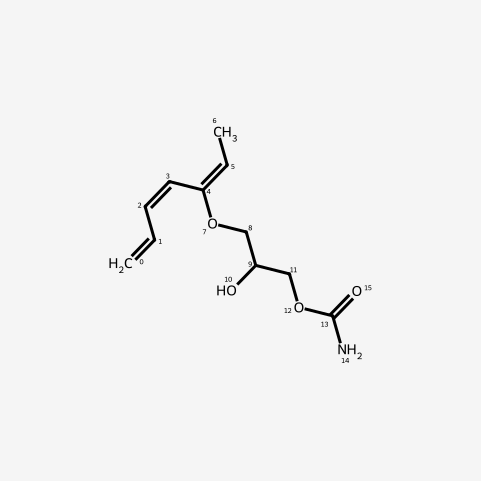 C=C/C=C\C(=C/C)OCC(O)COC(N)=O